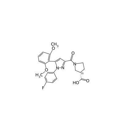 COc1cccc(OC)c1-c1cc(C(=O)N2CC[C@H](C(=O)O)C2)nn1-c1ccc(F)cc1